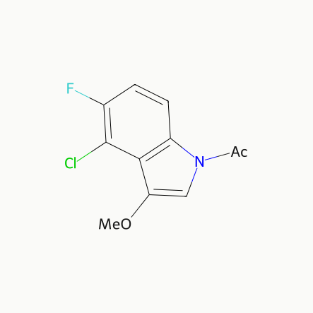 COc1cn(C(C)=O)c2ccc(F)c(Cl)c12